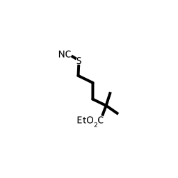 CCOC(=O)C(C)(C)CCCSC#N